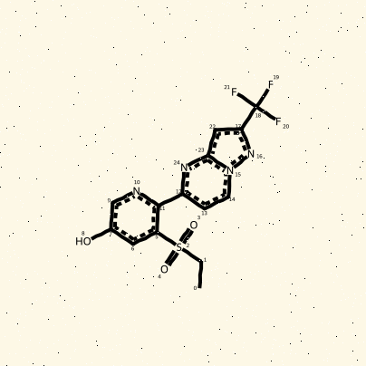 CCS(=O)(=O)c1cc(O)cnc1-c1ccn2nc(C(F)(F)F)cc2n1